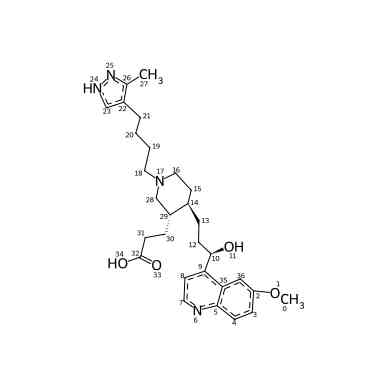 COc1ccc2nccc([C@H](O)CC[C@@H]3CCN(CCCCc4c[nH]nc4C)C[C@H]3CCC(=O)O)c2c1